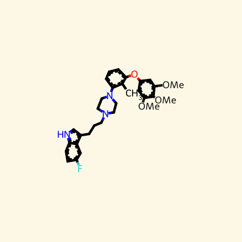 COc1cc(Oc2cccc(N3CCN(CCCc4c[nH]c5ccc(F)cc45)CC3)c2C)cc(OC)c1OC